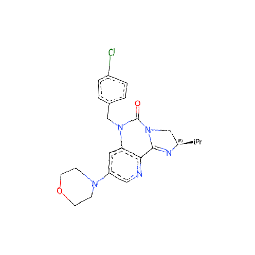 CC(C)[C@@H]1CN2C(=O)N(Cc3ccc(Cl)cc3)c3cc(N4CCOCC4)cnc3C2=N1